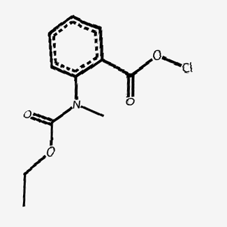 CCOC(=O)N(C)c1ccccc1C(=O)OCl